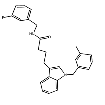 Cc1cccc(Cn2cc(CCCC(=O)NCc3cccc(F)c3)c3ccccc32)c1